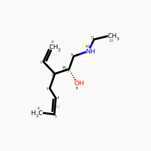 C=CC(C/C=C\C)[C@@H](O)CNCC